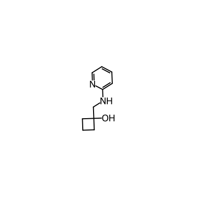 OC1(CNc2ccccn2)CCC1